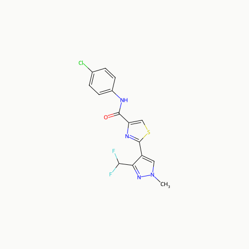 Cn1cc(-c2nc(C(=O)Nc3ccc(Cl)cc3)cs2)c(C(F)F)n1